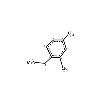 CNCc1ccc(C(F)(F)F)cc1C(F)(F)F